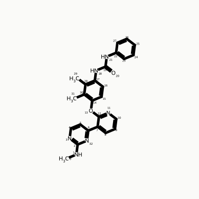 CNc1nccc(-c2cccnc2Oc2ccc(NC(=O)Nc3ccccc3)c(C)c2C)n1